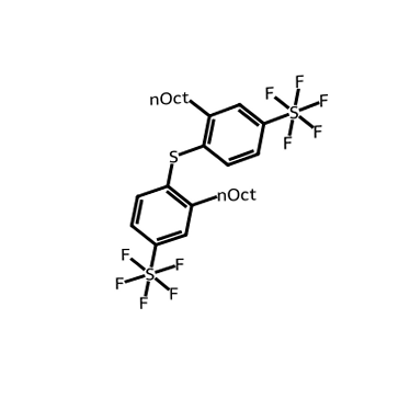 CCCCCCCCc1cc(S(F)(F)(F)(F)F)ccc1Sc1ccc(S(F)(F)(F)(F)F)cc1CCCCCCCC